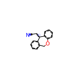 N#C/C=C1\c2ccccc2COc2ccccc21